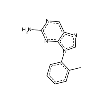 Cc1ccccc1-n1cnc2cnc(N)nc21